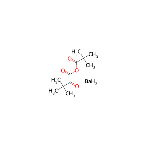 CC(C)(C)C(=O)OC(=O)C(=O)C(C)(C)C.[BaH2]